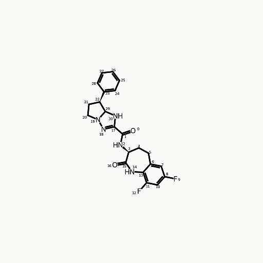 O=C(N[C@H]1CCc2cc(F)cc(F)c2NC1=O)C1=NN2CC[C@@H](c3ccccc3)C2N1